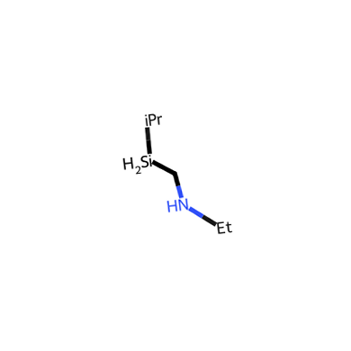 CCNC[SiH2]C(C)C